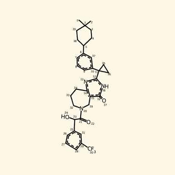 CC1(C)CCC(c2cccc(C3(c4nc5c(c(=O)[nH]4)CN(C(=O)C(O)c4cccc(C(F)(F)F)c4)CCC5)CC3)c2)CC1